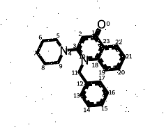 O=c1cc(N2CCCCC2)n(Cc2ccccc2)c2ccccc12